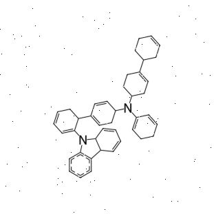 C1=CCC(C2=CCC(N(C3=CCCC=C3)C3CC=C(C4CC=CCC4)CC3)C=C2)C(N2c3ccccc3C3C=CC=CC32)=C1